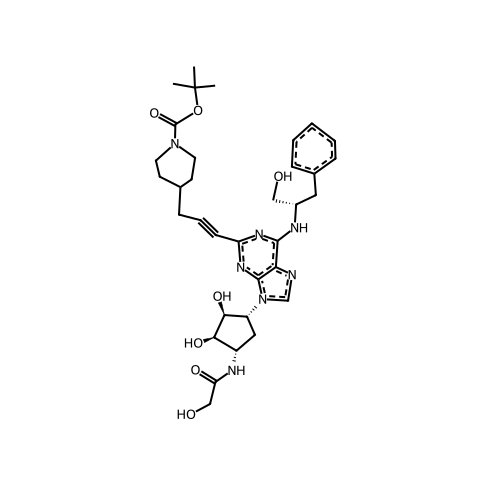 CC(C)(C)OC(=O)N1CCC(CC#Cc2nc(N[C@H](CO)Cc3ccccc3)c3ncn([C@@H]4C[C@H](NC(=O)CO)[C@@H](O)[C@H]4O)c3n2)CC1